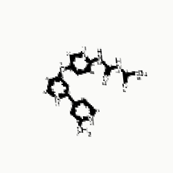 Cc1cc(-c2cc(Oc3ccc(NC(=O)NC(=O)C(C)(C)C)nc3)ccn2)ccn1